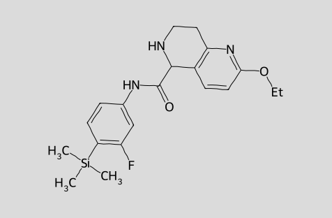 CCOc1ccc2c(n1)CCNC2C(=O)Nc1ccc([Si](C)(C)C)c(F)c1